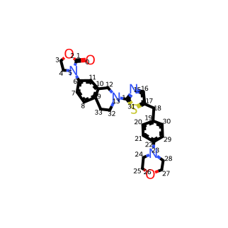 O=C1OCCN1c1ccc2c(c1)CN(c1ncc(Cc3ccc(N4CCOCC4)cc3)s1)CC2